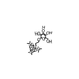 C[Si](C)(C)O[Si](CCCO[C@@H]1O[C@H](CO)[C@@H](O)[C@H](O)[C@H]1O)(O[Si](C)(C)C)O[Si](C)(C)C